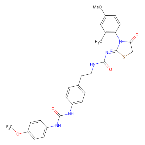 COc1ccc(N2C(=O)CS/C2=N\C(=O)NCCc2ccc(NC(=O)Nc3ccc(OC(F)(F)F)cc3)cc2)c(C)c1